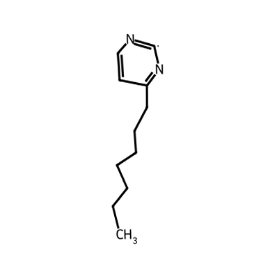 CCCCCCCc1ccn[c]n1